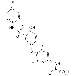 Cc1cc(NC(=O)C(=O)O)cc(C)c1Sc1ccc(O)c(S(=O)(=O)Nc2ccc(F)cc2)c1